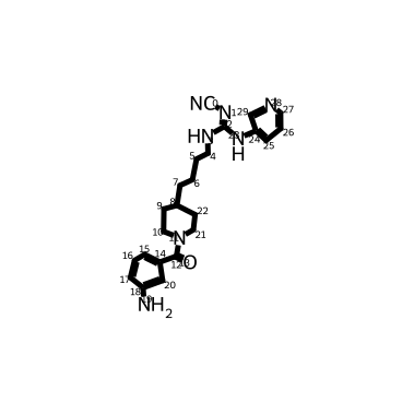 N#C/N=C(\NCCCCC1CCN(C(=O)c2cccc(N)c2)CC1)Nc1cccnc1